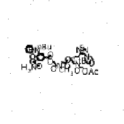 CCCCNc1cc(C(=O)OCC(=O)N(C)CC(=O)O[C@H](CCc2nsnc2N2CCOCC2)CN(C(=O)COC(C)=O)C(C)(C)C)cc(S(N)(=O)=O)c1Oc1ccccc1